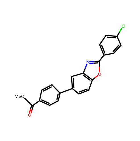 COC(=O)c1ccc(-c2ccc3oc(-c4ccc(Cl)cc4)nc3c2)cc1